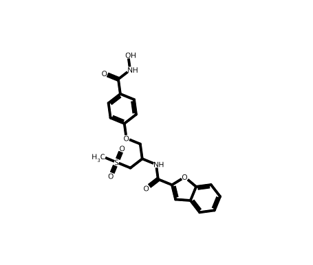 CS(=O)(=O)CC(COc1ccc(C(=O)NO)cc1)NC(=O)c1cc2ccccc2o1